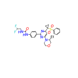 CC[C@H]1COCCN1c1cc(C2(S(=O)(=O)c3ccccc3)CC2)nc(-c2ccc(NC(=O)NCC(F)F)cc2)n1